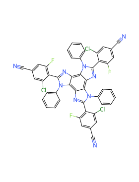 N#Cc1cc(F)c(-c2nc3c(c4nc(-c5c(F)cc(C#N)cc5Cl)n(-c5ccccc5)c4c4nc(-c5c(F)cc(C#N)cc5Cl)n(-c5ccccc5)c34)n2-c2ccccc2)c(Cl)c1